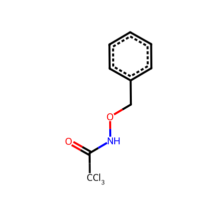 O=C(NOCc1ccccc1)C(Cl)(Cl)Cl